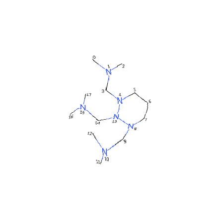 CN(C)CN1CCCN(CN(C)C)N1CN(C)C